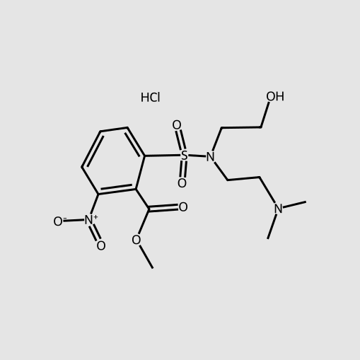 COC(=O)c1c([N+](=O)[O-])cccc1S(=O)(=O)N(CCO)CCN(C)C.Cl